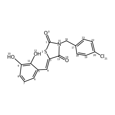 O=C1SC(=Cc2cccc(O)c2O)C(=O)N1Cc1ccc(Cl)cc1